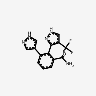 NC(=O)c1cccc(-c2cn[nH]c2)c1-c1n[nH]cc1C(F)(F)F